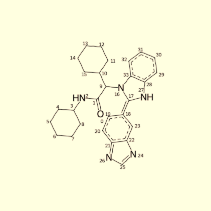 O=C(NC1CCCCC1)C(C1CCCCC1)N1C(=c2ccc3c(c2)N=CN=3)Nc2ccccc21